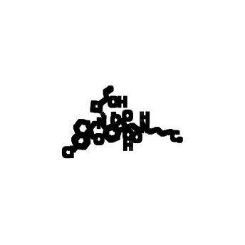 C=C=CCCCNC(=O)C[C@@](O)(C(=O)OC)c1ccc2c(c1)N(C[C@@H]1CC[C@H]1[C@@H](O)C=C)C[C@@]1(CCCc3cc(Cl)ccc31)CO2